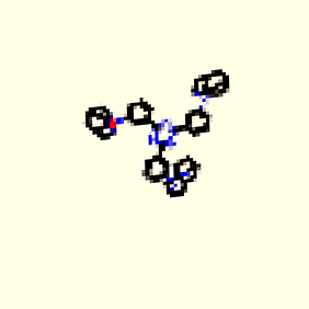 c1cc(-c2nc(-c3cccc(N4C5CC6CC(C5)CC4C6)c3)nc(-c3cccc(N4C5CCC6CC4CC6C5)c3)n2)cc(N2C3CC4CC(C3)CC2C4)c1